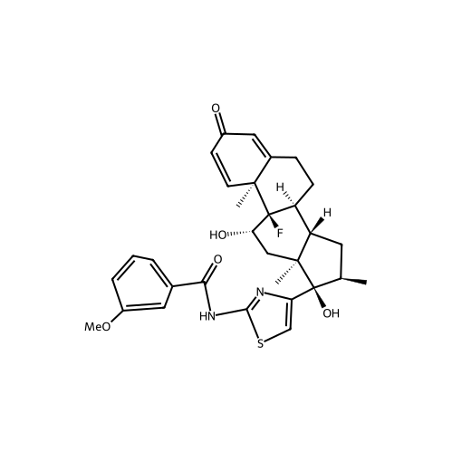 COc1cccc(C(=O)Nc2nc([C@@]3(O)[C@H](C)C[C@H]4[C@@H]5CCC6=CC(=O)C=C[C@]6(C)[C@@]5(F)[C@@H](O)C[C@@]43C)cs2)c1